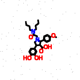 CCCCN(CCCC)C(=O)CN1CC(c2ccc(O)c(O)c2)C(C(=O)O)C1c1ccc(OC)cc1